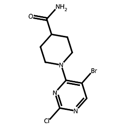 NC(=O)C1CCN(c2nc(Cl)ncc2Br)CC1